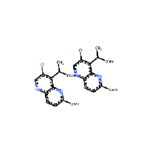 COc1ccc2ncc(Cl)c(C(C)OC)c2n1.COc1ccc2ncc(Cl)c(C(C)OC)c2n1